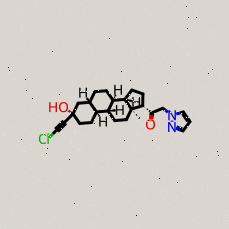 C[C@]12CC[C@H]3[C@@H](CC[C@H]4C[C@@](O)(C#CCl)CC[C@@H]43)[C@@H]1CC[C@@H]2C(=O)Cn1cccn1